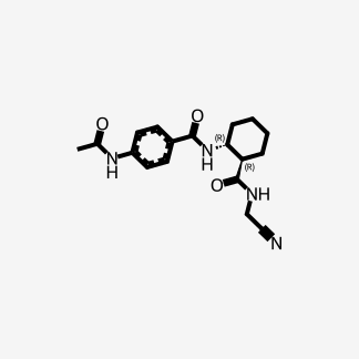 CC(=O)Nc1ccc(C(=O)N[C@@H]2CCCC[C@H]2C(=O)NCC#N)cc1